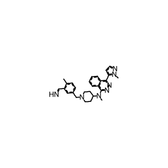 Cc1ccc(CN2CCC(N(C)c3nnc(-c4ccnn4C)c4ccccc34)CC2)cc1C=N